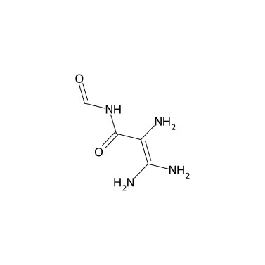 NC(N)=C(N)C(=O)NC=O